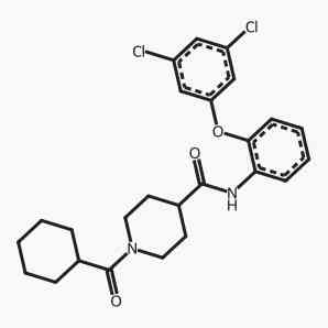 O=C(Nc1ccccc1Oc1cc(Cl)cc(Cl)c1)C1CCN(C(=O)C2CCCCC2)CC1